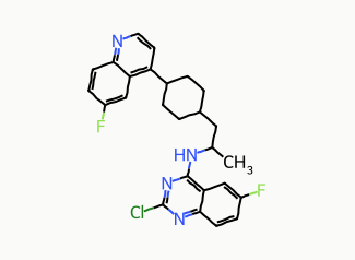 CC(CC1CCC(c2ccnc3ccc(F)cc23)CC1)Nc1nc(Cl)nc2ccc(F)cc12